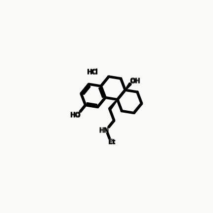 CCNCC[C@]12CCCC[C@@]1(O)CCc1ccc(O)cc12.Cl